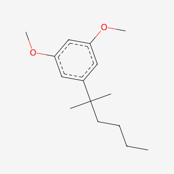 CCCCC(C)(C)c1cc(OC)cc(OC)c1